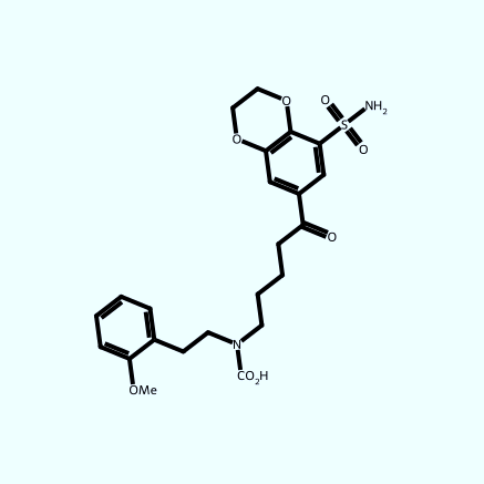 COc1ccccc1CCN(CCCCC(=O)c1cc2c(c(S(N)(=O)=O)c1)OCCO2)C(=O)O